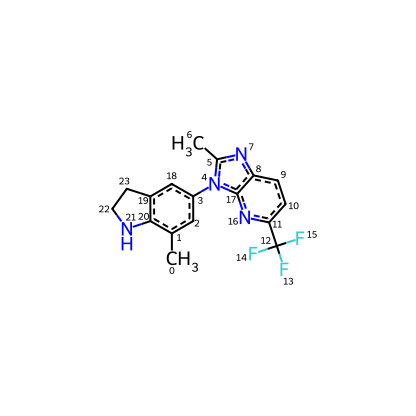 Cc1cc(-n2c(C)nc3ccc(C(F)(F)F)nc32)cc2c1NCC2